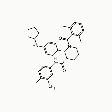 Cc1ccc(NC(=O)[C@H]2CCCN(C(=O)c3c(C)cccc3C)[C@H]2C2C=CC(NC3CCCC3)=CC2)cc1C(F)(F)F